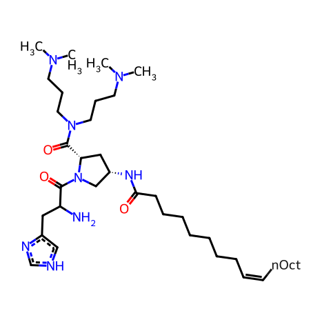 CCCCCCCC/C=C\CCCCCCCC(=O)N[C@H]1C[C@@H](C(=O)N(CCCN(C)C)CCCN(C)C)N(C(=O)C(N)Cc2c[nH]cn2)C1